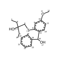 CCC(O)(CC)CSc1cc(OC)ccc1C(O)c1ccccc1